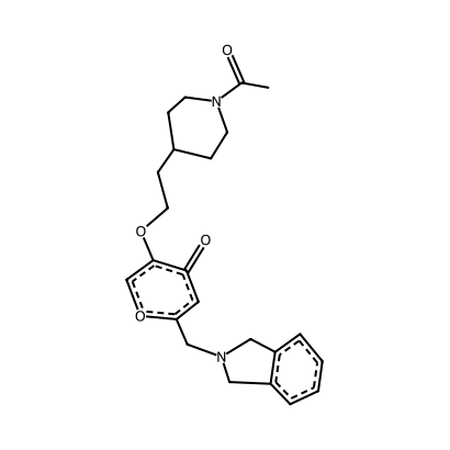 CC(=O)N1CCC(CCOc2coc(CN3Cc4ccccc4C3)cc2=O)CC1